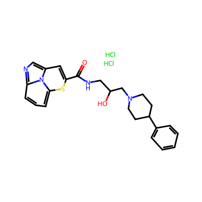 Cl.Cl.O=C(NCC(O)CN1CCC(c2ccccc2)CC1)C1=Cc2cnc3cccc(n23)S1